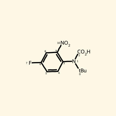 CC(C)(C)N(C(=O)O)c1ccc(F)cc1[N+](=O)[O-]